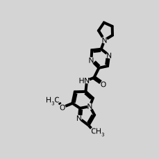 COc1cc(NC(=O)c2cnc(N3CCCC3)cn2)cn2cc(C)nc12